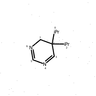 CC(C)C1(C(C)C)C=NC=NC1